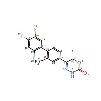 C[C@@H]1OC(=O)NN=C1c1ccc(-c2cc(F)c(F)cc2F)c(C(F)(F)F)c1